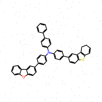 C1=Cc2sc3ccc(-c4ccc(N(c5ccc(-c6ccccc6)cc5)c5ccc(-c6ccc7oc8ccccc8c7c6)cc5)cc4)cc3c2CC1